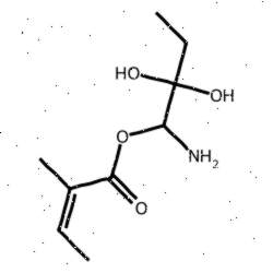 CC=C(C)C(=O)OC(N)C(O)(O)CC